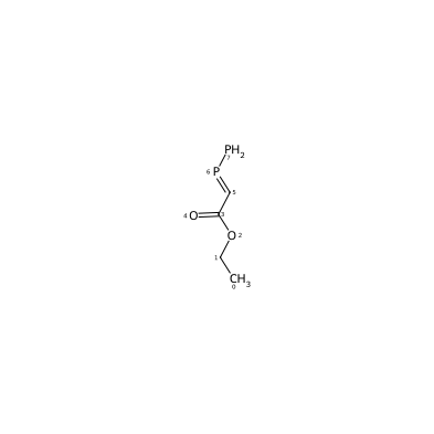 CCOC(=O)C=PP